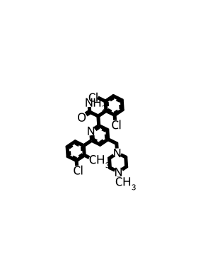 Cc1c(Cl)cccc1-c1cc(CN2CCN(C)CC2)cc(C(C(N)=O)c2c(Cl)cccc2Cl)n1